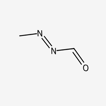 CN=NC=O